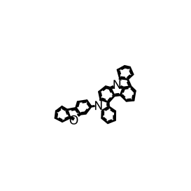 c1ccc2c(c1)oc1cc(-n3c4ccccc4c4c5c6cccc7c8ccccc8n(c5ccc43)c76)ccc12